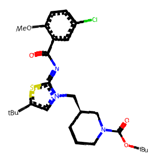 COc1ccc(Cl)cc1C(=O)/N=c1\sc(C(C)(C)C)cn1C[C@@H]1CCCN(C(=O)OC(C)(C)C)C1